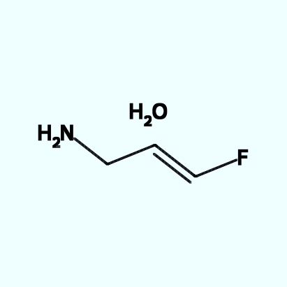 NCC=CF.O